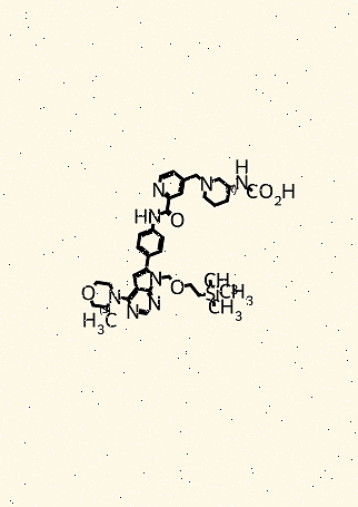 C[C@H]1COCCN1c1ncnc2c1cc(-c1ccc(NC(=O)c3cc(CN4CCC[C@@H](NC(=O)O)C4)ccn3)cc1)n2COCC[Si](C)(C)C